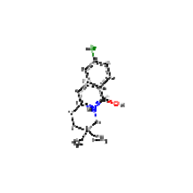 CC1(C)CCc2cc3cc(Br)ccc3c(=O)n2C1